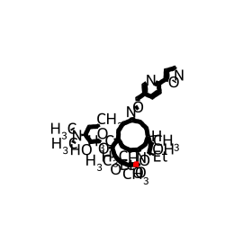 CCC(=O)/N=C1/C[C@H]2CC/C(=N\OCc3ccc(-c4ccno4)nc3)CC[C@](C)(C[C@H]1C)[C@H](O[C@@H]1O[C@H](C)C[C@H](N(C)C)[C@H]1O)[C@@H](C)C(=O)[C@@H](C)C(=O)O[C@H](CC)[C@@]2(C)O